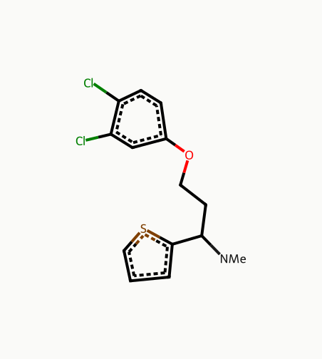 CNC(CCOc1ccc(Cl)c(Cl)c1)c1cccs1